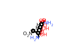 NCc1cc(-c2cccc([N+](=O)[O-])c2)c2c(c1O)C(=O)C1=C(O)C3C(=O)C(C(N)=O)=C(O)C[C@@H]3C[C@@H]1C2